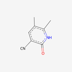 [C-]#[N+]c1cc(C)c(C)[nH]c1=O